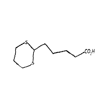 O=C(O)CCCCC1SCCCS1